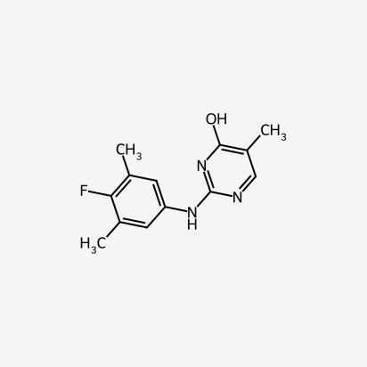 Cc1cnc(Nc2cc(C)c(F)c(C)c2)nc1O